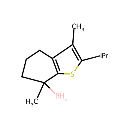 BC1(C)CCCc2c1sc(C(C)C)c2C